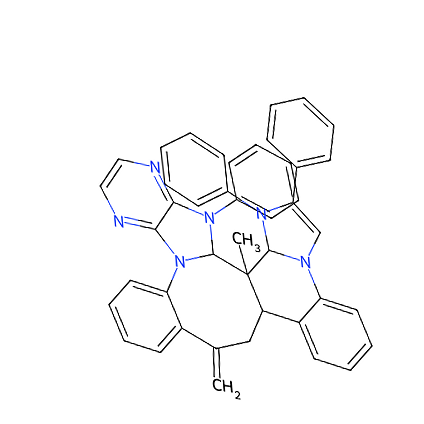 C=C1CC2c3ccccc3N3C=C(c4ccccc4)N(c4ccccc4)C3C2(C)C2N(c3ccccc3)c3nccnc3N2c2ccccc21